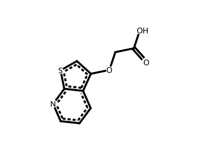 O=C(O)COc1csc2ncccc12